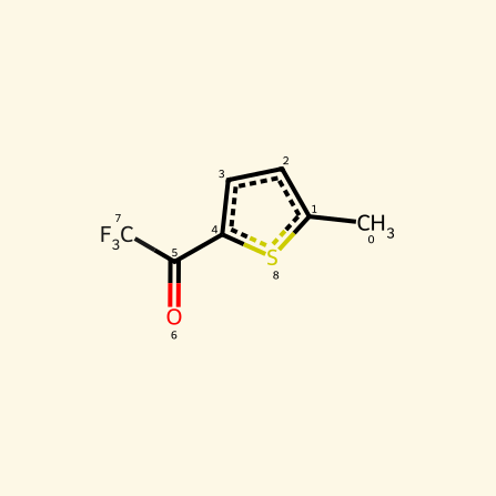 Cc1ccc(C(=O)C(F)(F)F)s1